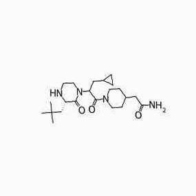 CC(C)(C)C[C@@H]1NCCN(C(CC2CC2)C(=O)N2CCC(CC(N)=O)CC2)C1=O